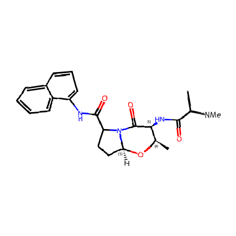 CNC(C)C(=O)N[C@@H]1C(=O)N2C(C(=O)Nc3cccc4ccccc34)CC[C@@H]2O[C@@H]1C